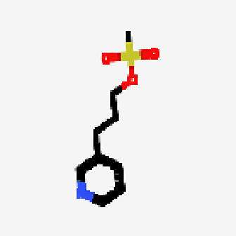 CS(=O)(=O)OCCCc1cccnc1